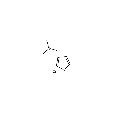 C1=C[N]C=C1.CN(C)C.[Zr]